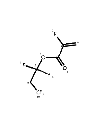 C=C(F)C(=O)OC(F)(F)CC(F)(F)F